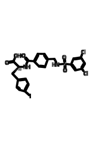 O=C(N[C@@H](Cc1ccc(I)cc1)C(=O)O)c1ccc(CNS(=O)(=O)c2cc(Cl)cc(Cl)c2)cc1